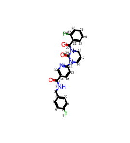 O=C(NCc1ccc(F)cc1)c1ccc(N2C=CCN(C(=O)c3ccccc3F)C2=O)nc1